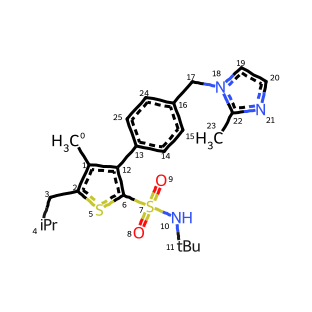 Cc1c(CC(C)C)sc(S(=O)(=O)NC(C)(C)C)c1-c1ccc(Cn2ccnc2C)cc1